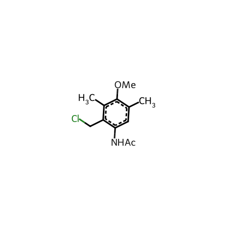 COc1c(C)cc(NC(C)=O)c(CCl)c1C